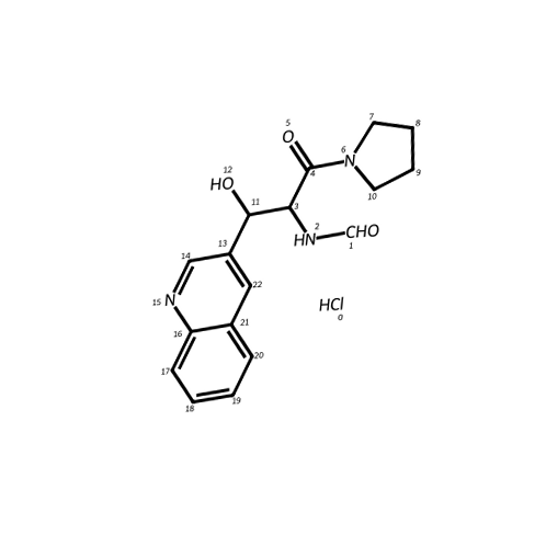 Cl.O=CNC(C(=O)N1CCCC1)C(O)c1cnc2ccccc2c1